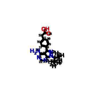 [2H]C([2H])([2H])C(n1nc(-c2ccc(CC(=O)O)cc2)c2c(N)ncnc21)C([2H])([2H])[2H]